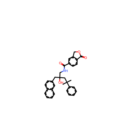 CC(C)(CC(O)(CNC(=O)c1ccc2c(c1)COC2=O)Cc1ccc2ccccc2c1)c1ccccc1